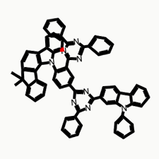 CC1(C)c2ccccc2-c2c1ccc1c3ccccc3n(-c3ccc(-c4nc(-c5ccccc5)nc(-c5ccc6c7ccccc7n(-c7ccccc7)c6c5)n4)cc3-c3nc(-c4ccccc4)nc(-c4ccccc4)n3)c21